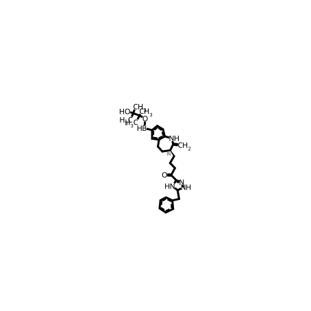 C=C1Nc2ccc(BOC(C)(C)C(C)(C)O)cc2CC[C@@H]1CCCC(=O)C1=NNC(Cc2ccccc2)N1